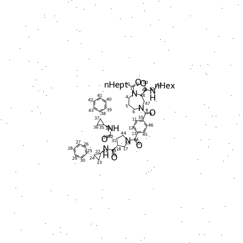 CCCCCCCC(=O)N1CCCN(C(=O)c2ccc(C(=O)N3C[C@@H](C(=O)N[C@H]4C[C@@H]4c4ccccc4)[C@H](C(=O)N[C@H]4C[C@@H]4c4ccccc4)C3)cc2)C[C@@H]1C(=O)NCCCCCC